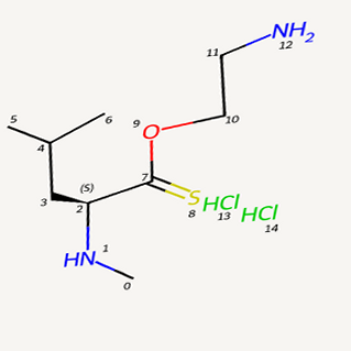 CN[C@@H](CC(C)C)C(=S)OCCN.Cl.Cl